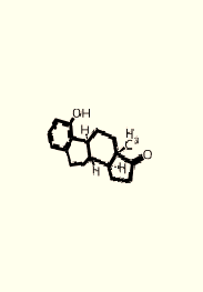 C[C@]12CC[C@@H]3c4c(O)cccc4CC[C@H]3[C@@H]1CCC2=O